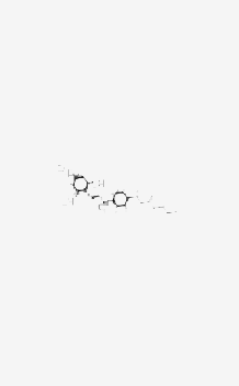 CCCCCCCc1ccc(C(=S)C=Cc2c(Br)cc(Br)cc2Br)cc1